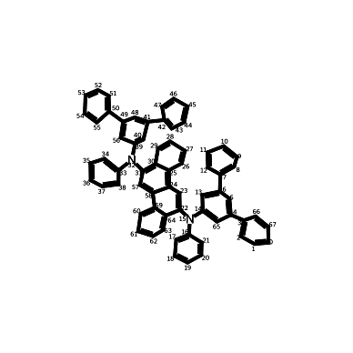 c1ccc(-c2cc(-c3ccccc3)cc(N(c3ccccc3)c3cc4c5ccccc5c(N(c5ccccc5)c5cc(-c6ccccc6)cc(-c6ccccc6)c5)cc4c4ccccc34)c2)cc1